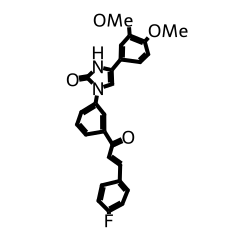 COc1ccc(-c2cn(-c3cccc(C(=O)C=Cc4ccc(F)cc4)c3)c(=O)[nH]2)cc1OC